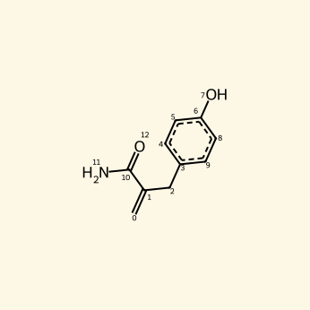 C=C(Cc1ccc(O)cc1)C(N)=O